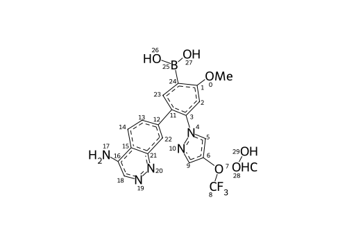 COc1cc(-n2cc(OC(F)(F)F)cn2)c(-c2ccc3c(N)cnnc3c2)cc1B(O)O.O=CO